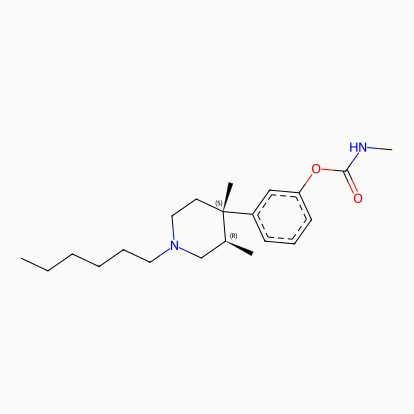 CCCCCCN1CC[C@](C)(c2cccc(OC(=O)NC)c2)[C@@H](C)C1